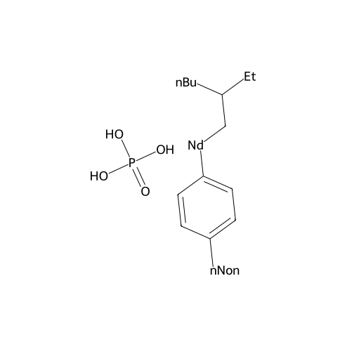 CCCCCCCCCc1cc[c]([Nd][CH2]C(CC)CCCC)cc1.O=P(O)(O)O